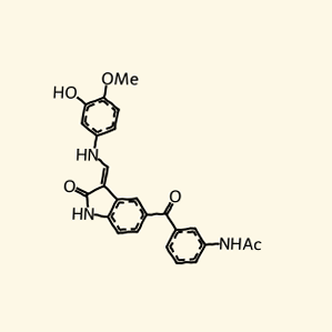 COc1ccc(NC=C2C(=O)Nc3ccc(C(=O)c4cccc(NC(C)=O)c4)cc32)cc1O